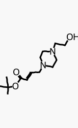 CC(C)(C)OC(=O)/C=C/CN1CCN(CCO)CC1